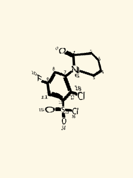 O=C1CCCCN1c1cc(F)cc(S(=O)(=O)Cl)c1Cl